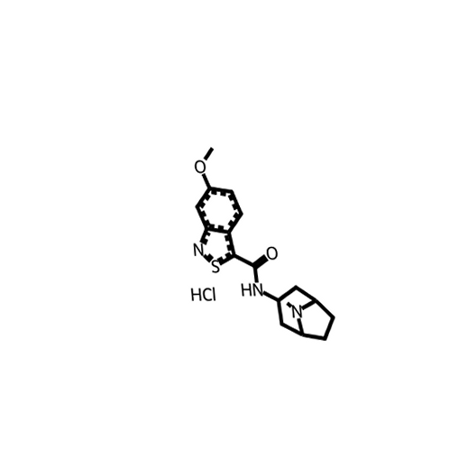 COc1ccc2c(C(=O)NC3CC4CCC(C3)N4C)snc2c1.Cl